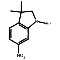 C[CH]N1CC(C)(C)c2ccc([N+](=O)[O-])cc21